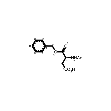 CC(=O)N[C@@H](CC(=O)O)C(=O)OCc1ccccc1